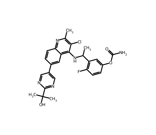 Cc1nc2ccc(-c3cnc(C(C)(C)O)nc3)cc2c(NC(C)c2cc(OC(N)=O)ccc2F)c1Cl